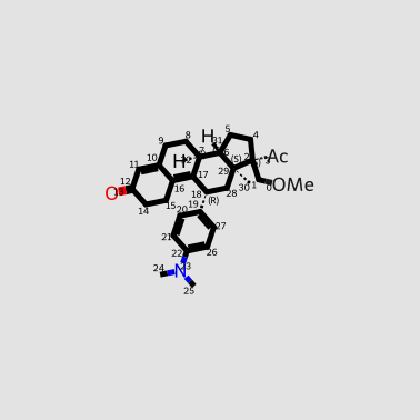 COC[C@]1(C(C)=O)CC[C@H]2[C@@H]3CCC4=CC(=O)CCC4=C3[C@@H](c3ccc(N(C)C)cc3)C[C@@]21C